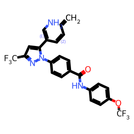 C=C/C=C\C(=C/N)c1cc(C(F)(F)F)nn1-c1ccc(C(=O)Nc2ccc(OC(F)(F)F)cc2)cc1